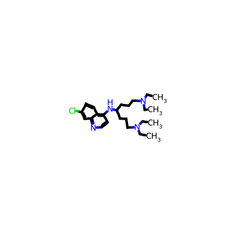 CCN(CC)CCCC(CCCN(CC)CC)Nc1ccnc2cc(Cl)ccc12